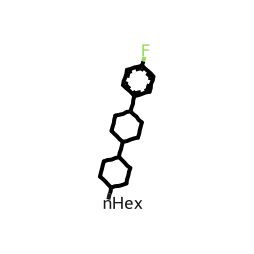 CCCCCCC1CCC(C2CCC(c3ccc(F)cc3)CC2)CC1